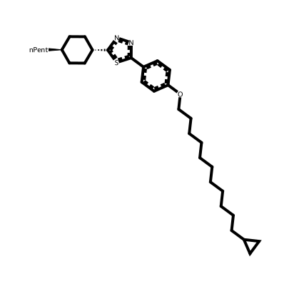 CCCCC[C@H]1CC[C@H](c2nnc(-c3ccc(OCCCCCCCCCCCC4CC4)cc3)s2)CC1